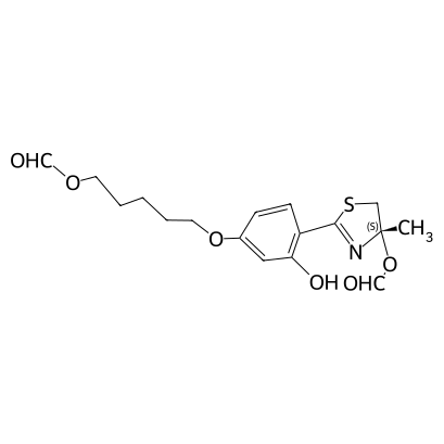 C[C@]1(OC=O)CSC(c2ccc(OCCCCCOC=O)cc2O)=N1